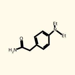 CCN(CC)c1ccc(CC(N)=O)cc1